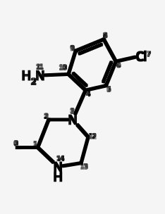 CC1CN(c2cc(Cl)ccc2N)CCN1